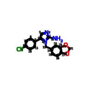 Nc1ncc(-c2ccc(Cl)cc2)n1Cc1ccc2c(c1)OCO2